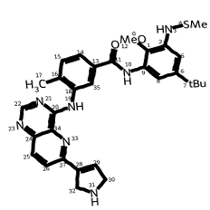 COc1c(NSC)cc(C(C)(C)C)cc1NC(=O)c1ccc(C)c(Nc2ncnc3ccc(C4=CCNC4)nc23)c1